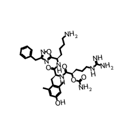 Cc1cc(O)cc(C)c1C[C@H](NC(=O)[C@@H](CCCNC(=N)N)OC(N)=O)C(=O)N[C@H](CCCCN)c1nc(Cc2ccccc2)no1